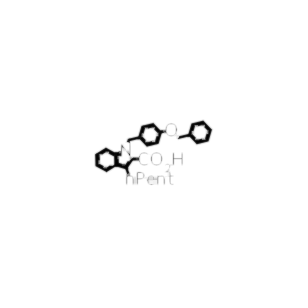 CCCCCc1c(C(=O)O)n(Cc2ccc(OCc3ccccc3)cc2)c2ccccc12